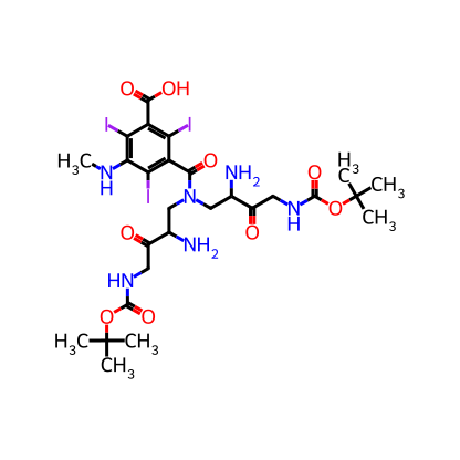 CNc1c(I)c(C(=O)O)c(I)c(C(=O)N(CC(N)C(=O)CNC(=O)OC(C)(C)C)CC(N)C(=O)CNC(=O)OC(C)(C)C)c1I